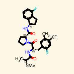 CN[C@@H](C)C(=O)N[C@@H](Cc1cc(C)c(C(F)(F)F)cc1F)C(=O)N1CCC[C@H]1C(=O)N[C@@H]1CCc2c(F)cccc21